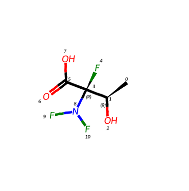 C[C@@H](O)[C@@](F)(C(=O)O)N(F)F